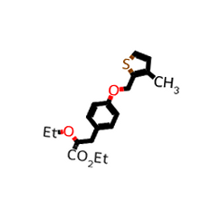 CCOC(=O)C(Cc1ccc(OCc2sccc2C)cc1)OCC